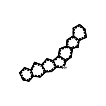 c1ccc2cc3cc4c(cc3cc2c1)[nH]c1cc2cc3ccccc3cc2cc14